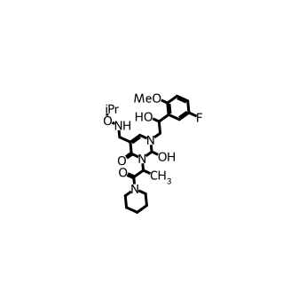 COc1ccc(F)cc1C(O)CN1C=C(CNOC(C)C)C(=O)N(C(C)C(=O)N2CCCCC2)C1O